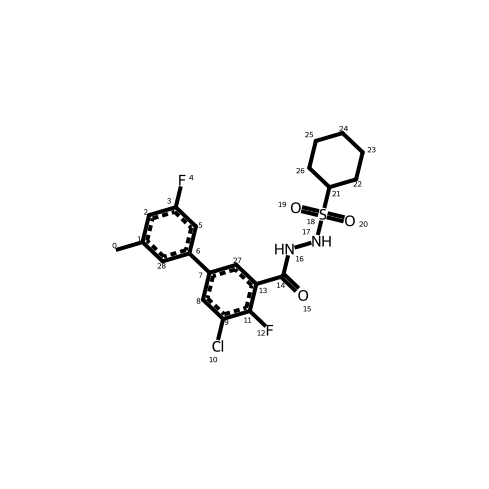 Cc1cc(F)cc(-c2cc(Cl)c(F)c(C(=O)NNS(=O)(=O)C3CCCCC3)c2)c1